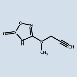 C#CCN(C)C1=NOS(=O)N1